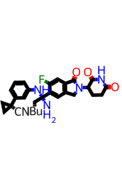 CCC(C)CC(N)(Nc1cccc(C2(C#N)CC2)c1)c1cc2c(cc1F)C(=O)N(C1CCC(=O)NC1=O)C2